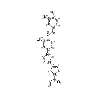 C=CC(=O)N1CC[C@@H](N2C=CN(c3ccc(OCc4ccc(Cl)c(Cl)c4)c(Cl)c3)C2)C1